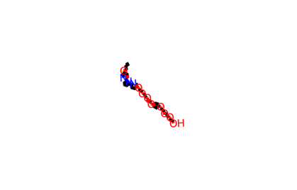 C=CCCOc1ccc(-c2cccc(-c3ccc(OCCOCCOCCOc4ccc(OCCOCCOCCO)cc4)cn3)n2)nc1